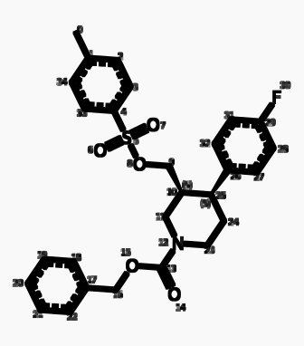 Cc1ccc(S(=O)(=O)OC[C@@H]2CN(C(=O)OCc3ccccc3)CC[C@@H]2c2ccc(F)cc2)cc1